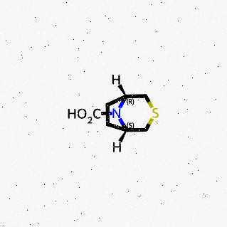 O=C(O)N1[C@@H]2CC[C@H]1CSC2